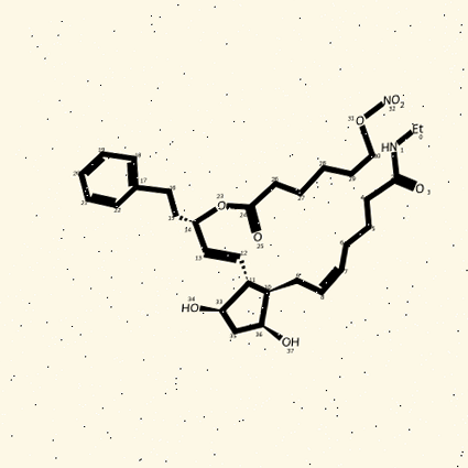 CCNC(=O)CCC/C=C\C[C@@H]1[C@@H](/C=C/[C@H](CCc2ccccc2)OC(=O)CCCCCO[N+](=O)[O-])[C@H](O)C[C@@H]1O